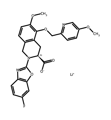 COc1ccc(COc2c(OC)ccc3c2C[C@@H](C(=O)[O-])N(c2nc4ccc(F)cc4o2)C3)nc1.[Li+]